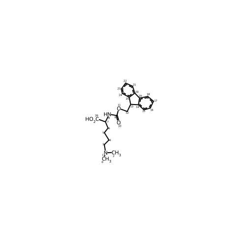 CN(C)CCCCC(NC(=O)OCC1c2ccccc2-c2ccccc21)C(=O)O